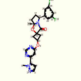 Cn1nccc1-c1cc(OC2CC3(C2)O[C@@H]2CC[C@@H](c4cc(F)cc(F)c4)N2C3=O)ncn1